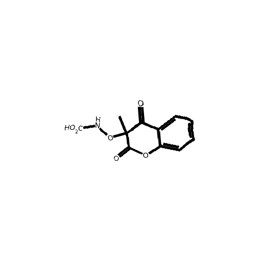 CC1(ONC(=O)O)C(=O)Oc2ccccc2C1=O